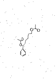 CC(=O)OCCCCCC(OC(C)=O)c1ccccc1